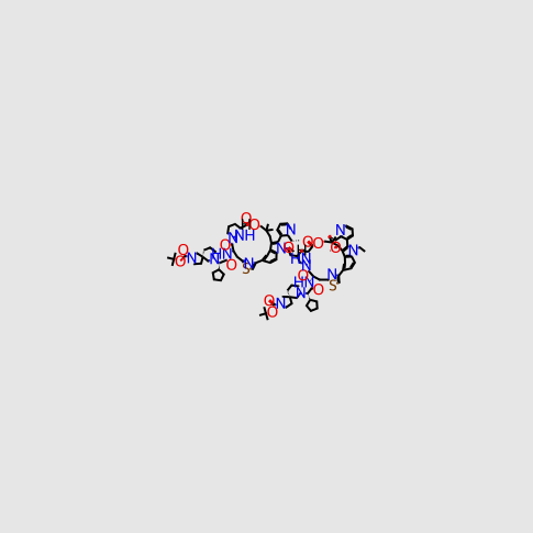 CCn1c(-c2cccnc2[C@H](C)OC)c2c3cc(ccc31)-c1csc(n1)C[C@H](NC(=O)[C@H](C1CCCC1)N1CCC[C@@]3(CCN(C(=O)OC(C)(C)C)C3)C1)C(=O)N1CC(CCn3c(-c4cccnc4[C@H](C)OC)c4c5cc(ccc53)-c3csc(n3)C[C@H](NC(=O)[C@H](C3CCCC3)N3CCC[C@@]5(CCN(C(=O)OC(C)(C)C)C5)C3)C(=O)N3CCC[C@H](N3)C(=O)OCC(C)(C)C4)C[C@H](N1)C(=O)OCC(C)(C)C2